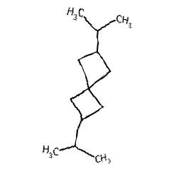 CC(C)C1CC2(C1)CC(C(C)C)C2